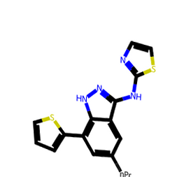 CCCc1cc(-c2cccs2)c2[nH]nc(Nc3nccs3)c2c1